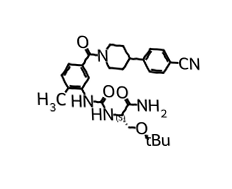 Cc1ccc(C(=O)N2CCC(c3ccc(C#N)cc3)CC2)cc1NC(=O)N[C@@H](COC(C)(C)C)C(N)=O